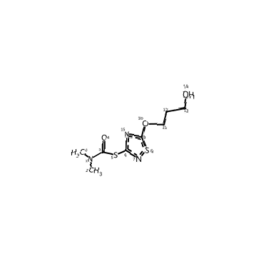 CN(C)C(=O)Sc1nsc(OCCCO)n1